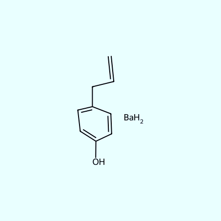 C=CCc1ccc(O)cc1.[BaH2]